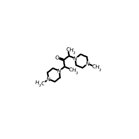 CC(C(=O)C(C)N1CCN(C)CC1)N1CCN(C)CC1